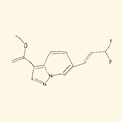 C=C(OC)c1cnn2cc(/C=C/C(F)F)ccc12